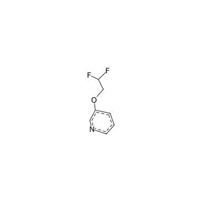 FC(F)COc1cccnc1